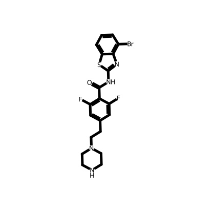 O=C(Nc1nc2c(Br)cccc2s1)c1c(F)cc(CCN2CCNCC2)cc1F